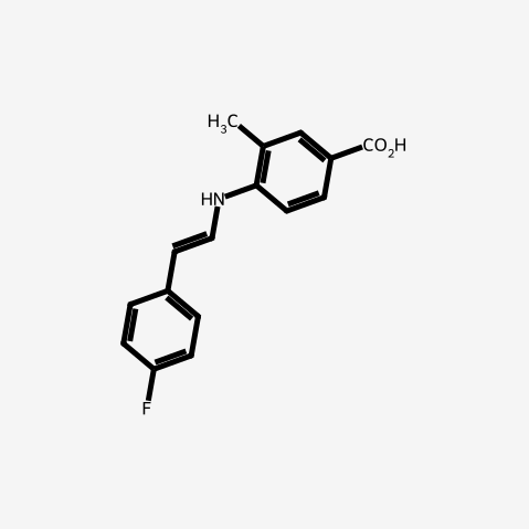 Cc1cc(C(=O)O)ccc1NC=Cc1ccc(F)cc1